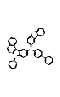 c1ccc(-c2ccc(N(c3ccc4sc5ccccc5c4c3)c3ccc4c(c3)c3c5ccccc5ccc3n4-c3ccccc3)cc2)cc1